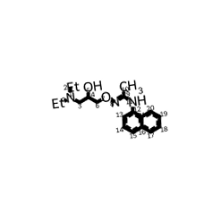 CCN(CC)CC(O)CON=C(C)Nc1cccc2ccccc12